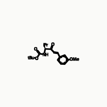 COc1cccc(/C=C/C(=O)[C@H](NC(=O)OC(C)(C)C)C(C)C)c1